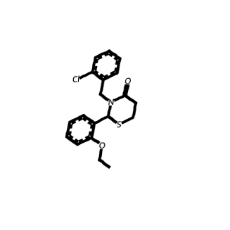 CCOc1ccccc1C1SCCC(=O)N1Cc1ccccc1Cl